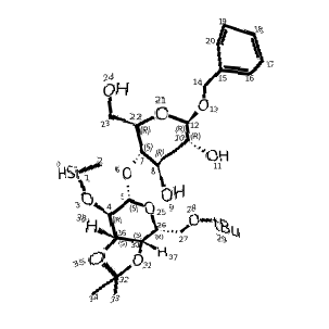 C[SiH](C)O[C@H]1[C@H](O[C@H]2[C@H](O)[C@@H](O)[C@H](OCc3ccccc3)O[C@@H]2CO)O[C@H](COC(C)(C)C)[C@@H]2OC(C)(C)O[C@@H]21